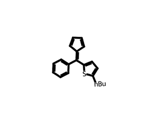 CCCCc1ccc(C(=C2C=CC=C2)c2ccccc2)s1